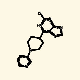 Clc1nc2ncnc-2c(N2CCN(c3cccnc3)CC2)[nH]1